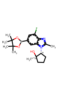 Cc1nc2c(F)cc(B3OC(C)(C)C(C)(C)O3)cc2n1[C@@H]1CCC[C@@]1(C)O